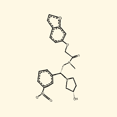 CN(C[C@@H](c1cccc([N+](=O)[O-])c1)N1CC[C@H](O)C1)C(=O)COc1ccc2ccoc2c1